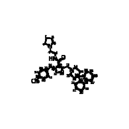 O=C(NCCN1CCCC1)c1c(CN2CCC(c3ccccc3)(c3ccccc3)CC2)ncn1Cc1ccc(Cl)cc1